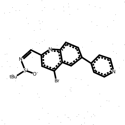 CC(C)(C)[S+]([O-])/N=C\c1cc(Br)c2cc(-c3ccncc3)ccc2n1